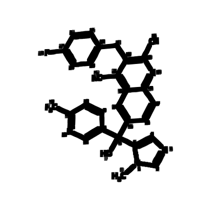 Cn1cncc1C(O)(c1ccc(C(F)(F)F)nc1)c1ccc2nc(C#N)c(Cc3ccc(F)cc3)c(C#N)c2c1